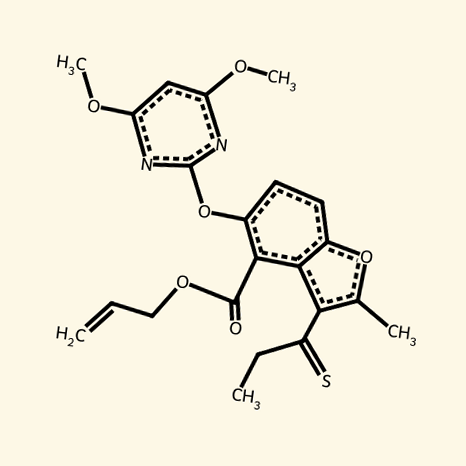 C=CCOC(=O)c1c(Oc2nc(OC)cc(OC)n2)ccc2oc(C)c(C(=S)CC)c12